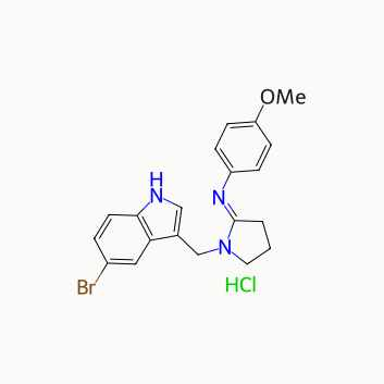 COc1ccc(N=C2CCCN2Cc2c[nH]c3ccc(Br)cc23)cc1.Cl